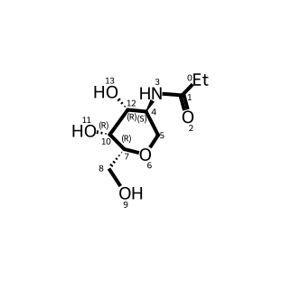 CCC(=O)N[C@H]1CO[C@H](CO)[C@H](O)[C@@H]1O